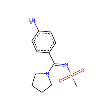 CS(=O)(=O)N=C(c1ccc(N)cc1)N1CCCC1